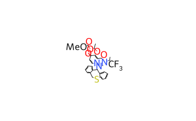 COC(=O)OC(C)Oc1c2n(ccc1=O)N([C@H]1c3ccccc3CSc3ccccc31)CN([C@H](C)C(F)(F)F)C2=O